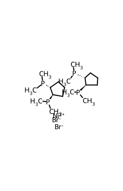 CP(C)[C@@H]1CCC[C@H]1P(C)C.CP(C)[C@@H]1CCC[C@H]1P(C)C.[Br-].[Br-].[Ni+2]